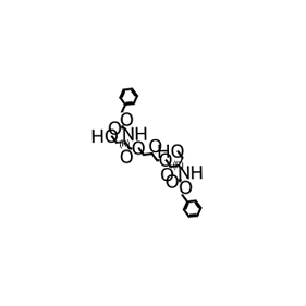 O=C(COC(=O)[C@@H](CO)NC(=O)OCc1ccccc1)COC(=O)[C@@H](CO)NC(=O)OCc1ccccc1